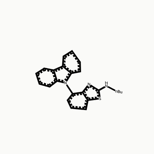 CCCCNc1nc2c(-n3c4ccccc4c4ccccc43)cccc2s1